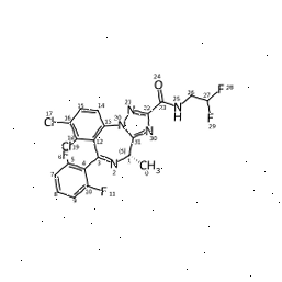 C[C@@H]1N=C(c2c(F)cccc2F)c2c(ccc(Cl)c2Cl)-n2nc(C(=O)NCC(F)F)nc21